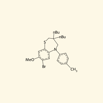 CCCCC1(CCCC)CSc2cc(OC)c(Br)cc2N(c2ccc(C)cc2)C1